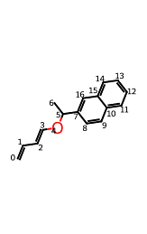 C=CC=COC(C)c1ccc2ccccc2c1